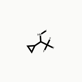 FC(F)(F)C(NI)C1CC1